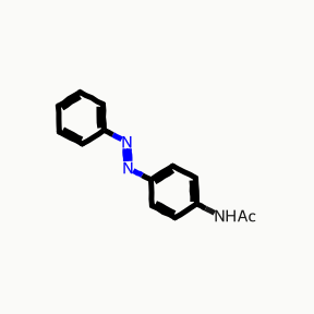 CC(=O)Nc1ccc(/N=N/c2ccccc2)cc1